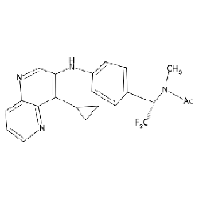 CC(=O)N(C)[C@@H](c1ccc(Nc2cnc3cccnc3c2C2CC2)cc1)C(F)(F)F